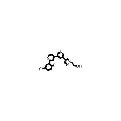 OCCn1cc(-c2cncc(-c3ccnc(-c4cc(Cl)ccc4F)c3)c2)cn1